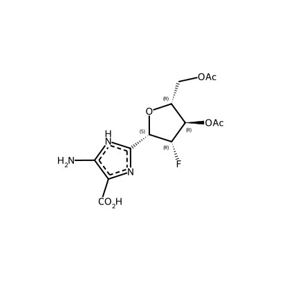 CC(=O)OC[C@H]1O[C@@H](c2nc(C(=O)O)c(N)[nH]2)[C@@H](F)[C@@H]1OC(C)=O